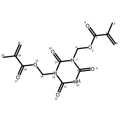 C=C(C)C(=O)OCn1c(=O)[nH]c(=O)n(COC(=O)C(=C)C)c1=O